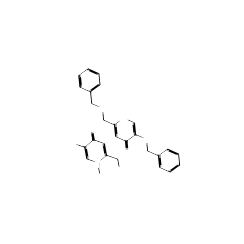 Cn1cc(O)c(=O)cc1CO.O=c1cc(COCc2ccccc2)occ1OCc1ccccc1